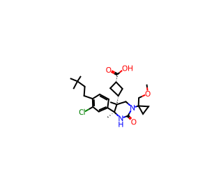 COCC1(N2CC(C)([C@H]3C[C@@H](C(=O)O)C3)[C@](C)(c3ccc(CCC(C)(C)C)c(Cl)c3)NC2=O)CC1